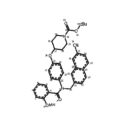 COc1ccccc1C(=O)N(Cc1ccc2ccc(C#N)cc2c1)c1ccc(OC2CCN(C(=O)OC(C)(C)C)CC2)cc1